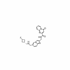 O=C(NCc1cn2cc(CNC[C@H]3C[C@H](F)C3)ccc2n1)c1cc(=O)n2ccccc2n1